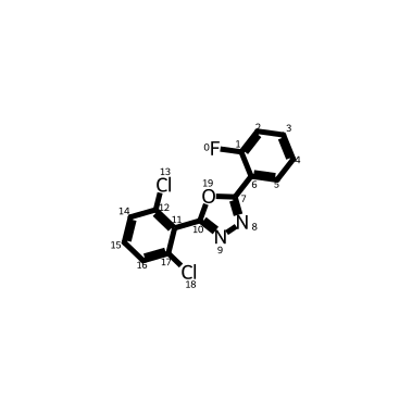 Fc1ccccc1-c1nnc(-c2c(Cl)cccc2Cl)o1